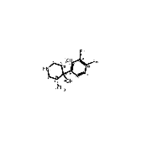 C[C@@H]1CNC[C@H](C)C1(O)c1ccc(F)c(F)c1